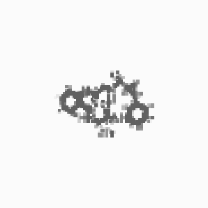 CC(C)[C@H](Nc1nc(CNC(=O)[C@@H]2C[C@H]2c2ccccc2)nc2ccccc12)C(N)=O